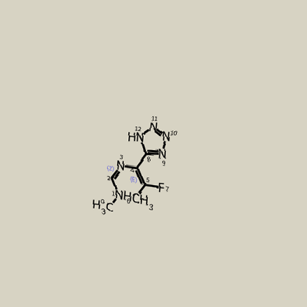 CN/C=N\C(=C(/C)F)c1nnn[nH]1